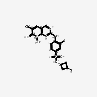 Cc1cc(S(=O)(=O)N[C@H]2C[C@H](C)C2)ccc1Nc1ncc2cc(Cl)c(=O)n(C(C)C)c2n1